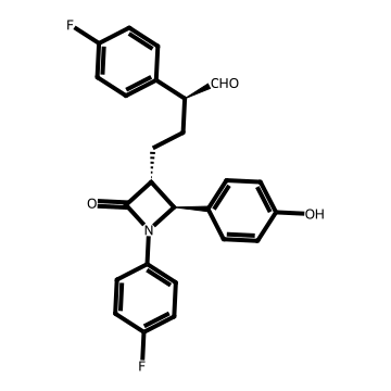 O=C[C@@H](CC[C@H]1C(=O)N(c2ccc(F)cc2)[C@@H]1c1ccc(O)cc1)c1ccc(F)cc1